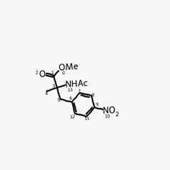 COC(=O)C(C)(Cc1ccc([N+](=O)[O-])cc1)NC(C)=O